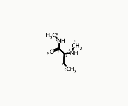 CCC(NC)C(=O)NC